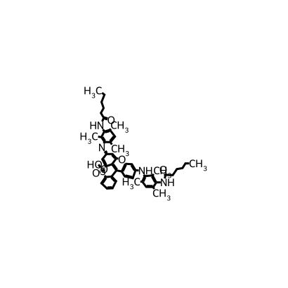 CCCCCC(=O)Nc1c(C)cc(C)c(/N=c2/ccc3c(-c4ccccc4S(=O)(=O)O)c4ccc(Nc5c(C)cc(C)c(NC(=O)CCCCC)c5C)cc4oc-3c2)c1C